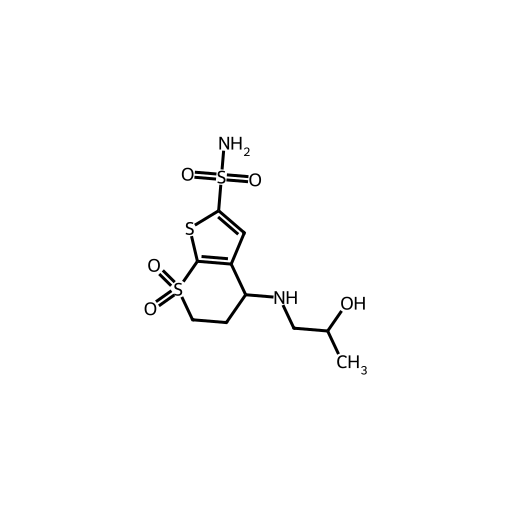 CC(O)CNC1CCS(=O)(=O)c2sc(S(N)(=O)=O)cc21